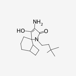 CC(C)(C)CCN1C(=O)C(N)=C(O)C12CCCC1CCC12